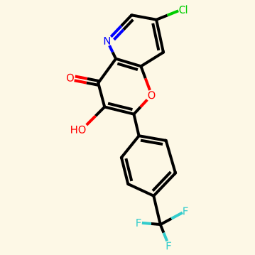 O=c1c(O)c(-c2ccc(C(F)(F)F)cc2)oc2cc(Cl)cnc12